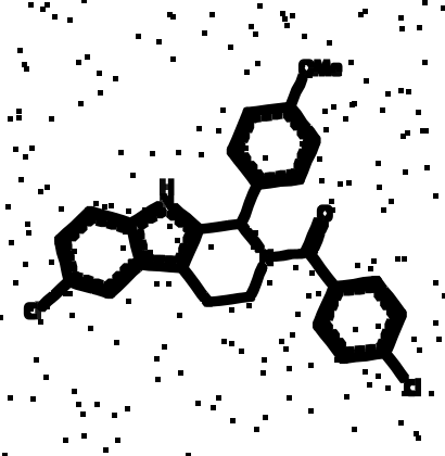 COc1ccc(C2c3[nH]c4ccc(Cl)cc4c3CCN2C(=O)c2ccc(Cl)cc2)cc1